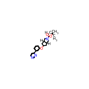 CC(C)(C)OC(=O)N1C[C@H]2CC(Oc3cccc(-c4ccncn4)c3)C[C@H]2C1